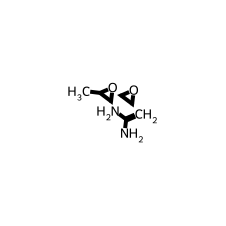 C1CO1.C=C(N)N.CC1CO1